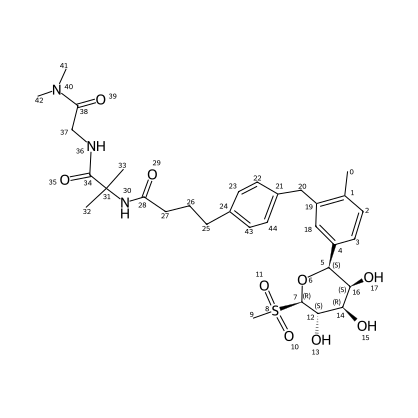 Cc1ccc([C@@H]2O[C@H](S(C)(=O)=O)[C@@H](O)[C@H](O)[C@@H]2O)cc1Cc1ccc(CCCC(=O)NC(C)(C)C(=O)NCC(=O)N(C)C)cc1